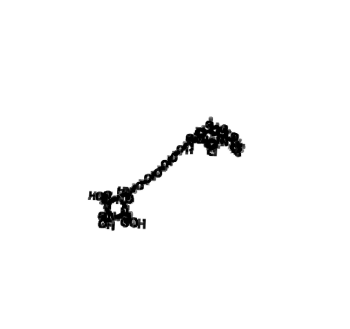 COc1cc2c(cc1-c1cccc(NC(=O)NCCOCCOCCOCCOCCOCCOCCNC(=O)CN3CCN(CC(=O)O)CCN(CC(=O)O)CCN(CC(=O)O)CC3)c1)-c1c(c(C(=O)N3CCOCC3(C)C)nn1-c1cc(Cl)cc(Cl)c1)CO2